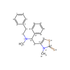 CN(CCc1ccccc1)C(Cc1csc(=S)n1C)c1ccccc1